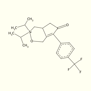 CC(C)[Si]1(C(C)C)CC2CC(=O)C(c3ccc(C(F)(F)F)cc3)=C2CO1